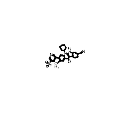 CCc1cc2c(=O)c3c4ccc(C#N)cc4[nH]c3n(C3CCCCC3)c2cc1-c1cncc(S(=O)(=O)F)c1